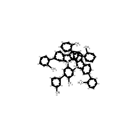 Cc1ccccc1-c1ccc2c3ccc(-c4ccccc4C)cc3n(-c3cc(-c4cccc(C#N)c4)c(C(F)(F)F)cc3-n3c4cc(-c5ccccc5C)ccc4c4ccc(-c5ccccc5C)cc43)c2c1